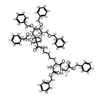 C[C@H](NC(=O)[C@H](CCCCNC(=O)C(F)(F)[C@]1(O)O[C@H](COCc2ccccc2)[C@H](OCc2ccccc2)[C@H](OCc2ccccc2)[C@H]1OCc1ccccc1)NC(=O)OCc1ccccc1)C(=O)OCc1ccccc1